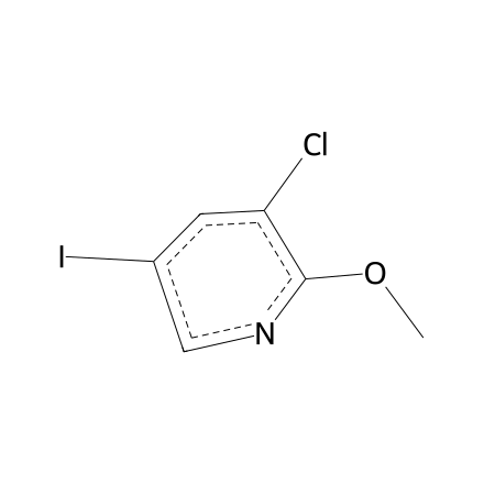 COc1ncc(I)cc1Cl